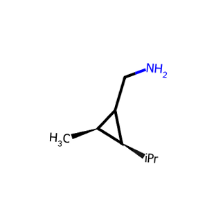 CC(C)[C@@H]1C(CN)[C@@H]1C